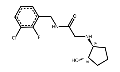 O=C(CN[C@H]1CCC[C@@H]1O)NCc1cccc(Cl)c1F